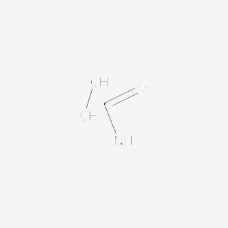 CC.NC=O